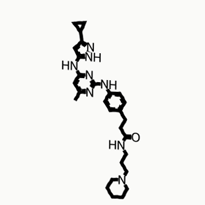 Cc1cc(Nc2cc(C3CC3)n[nH]2)nc(Nc2ccc(CCC(=O)NCCCN3CCCCC3)cc2)n1